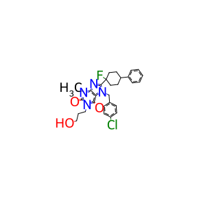 Cn1c(=O)n(CCCO)c(=O)c2c1nc(C1(F)CCC(c3ccccc3)CC1)n2Cc1ccc(Cl)cc1